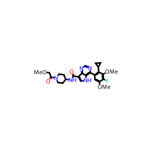 COCC(=O)N1CCC(NC(=O)c2c[nH]c3c(-c4cc(OC)c(F)c(OC)c4C4CC4)ncnc23)CC1